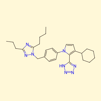 CCCCc1nc(CCC)nn1Cc1ccc(-n2ccc(C3CCCCC3)c2-c2nnn[nH]2)cc1